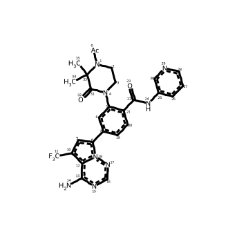 CC(=O)N1CCN(c2cc(-c3cc(C(F)(F)F)c4c(N)ncnn34)ccc2C(=O)Nc2cccnc2)C(=O)C1(C)C